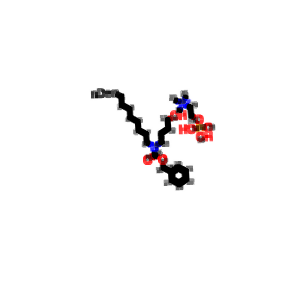 CCCCCCCCCCCCCCCCCCN(CCCCO)C(=O)OCc1ccccc1.C[N+](C)(C)CCOP(=O)(O)O